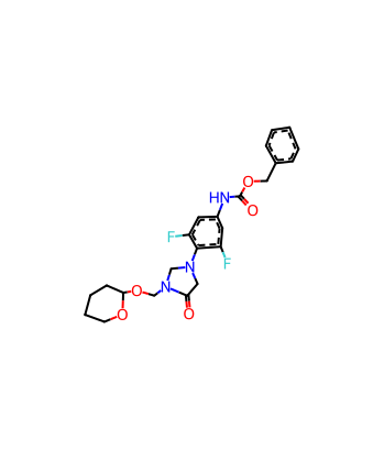 O=C(Nc1cc(F)c(N2CC(=O)N(COC3CCCCO3)C2)c(F)c1)OCc1ccccc1